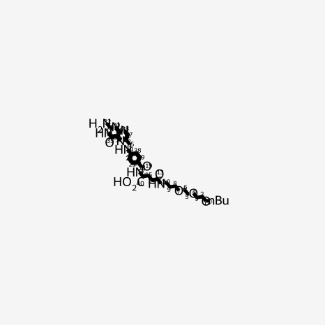 CCCCOCCOCCOCCCNC(=O)CC[C@@H](NC(=O)c1ccc(NCc2cnc3nc(N)[nH]c(=O)c3n2)cc1)C(=O)O